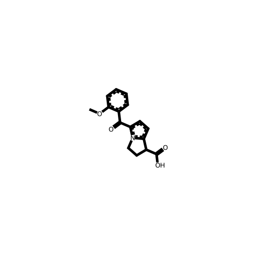 COc1ccccc1C(=O)c1ccc2n1CCC2C(=O)O